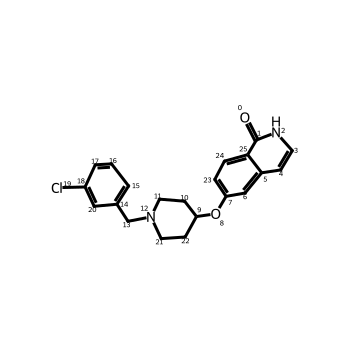 O=c1[nH]ccc2cc(OC3CCN(Cc4cccc(Cl)c4)CC3)ccc12